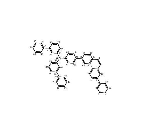 C(=C/c1cccc(-c2ccccc2)c1)/c1ccc(-c2ccc(N(c3cccc(-c4ccccc4)c3)c3cccc(-c4ccccc4)c3)cc2)cc1